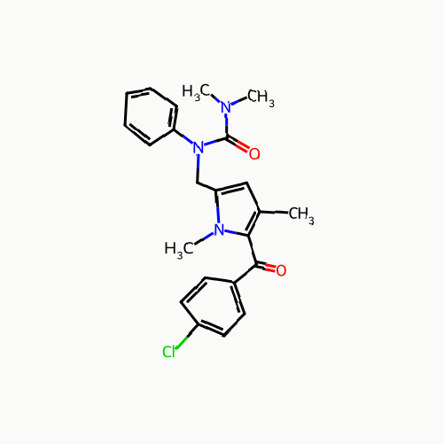 Cc1cc(CN(C(=O)N(C)C)c2ccccc2)n(C)c1C(=O)c1ccc(Cl)cc1